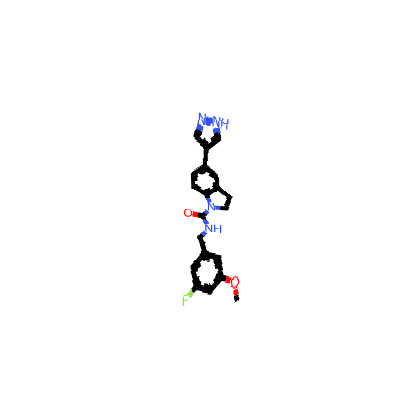 COc1cc(F)cc(CNC(=O)N2CCc3cc(-c4cn[nH]c4)ccc32)c1